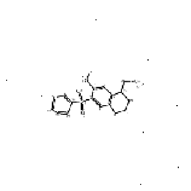 COc1cc2c(cc1S(=O)(=O)c1ccccc1)CCCC2CN